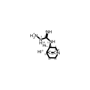 I.N=C(NN)N[C@H]1CN2CCC1CC2